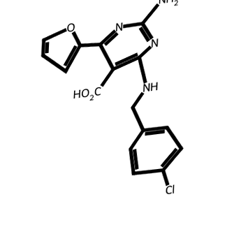 Nc1nc(NCc2ccc(Cl)cc2)c(C(=O)O)c(-c2ccco2)n1